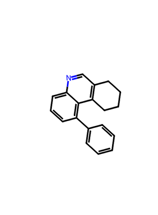 c1ccc(-c2cccc3ncc4c(c23)CCCC4)cc1